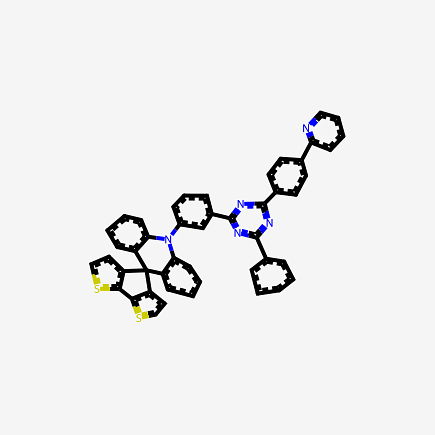 c1ccc(-c2nc(-c3ccc(-c4ccccn4)cc3)nc(-c3cccc(N4c5ccccc5C5(c6ccccc64)c4ccsc4-c4sccc45)c3)n2)cc1